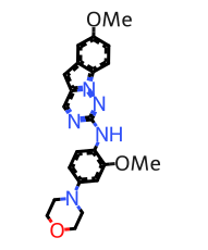 COc1ccc2c(c1)cc1cnc(Nc3ccc(N4CCOCC4)cc3OC)nn12